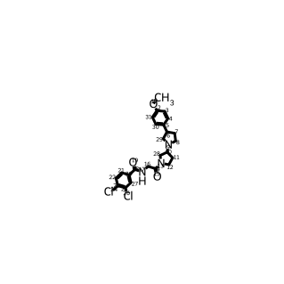 COc1ccc(C2CCN(C3CCN(C(=O)CNC(=O)c4ccc(Cl)c(Cl)c4)C3)C2)cc1